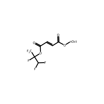 CCCCCCCCOC(=O)/C=C/C(=O)OC(F)(C(F)F)C(F)(F)F